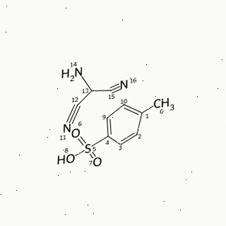 Cc1ccc(S(=O)(=O)O)cc1.N#CC(N)C#N